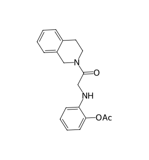 CC(=O)Oc1ccccc1NCC(=O)N1CCc2ccccc2C1